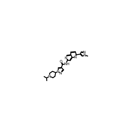 CC(C)N1CCC(n2cc(C(=O)Nc3cc4nc(-c5cnn(C)c5)ccc4cn3)cn2)CC1